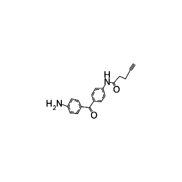 C#CCCC(=O)Nc1ccc(C(=O)c2ccc(N)cc2)cc1